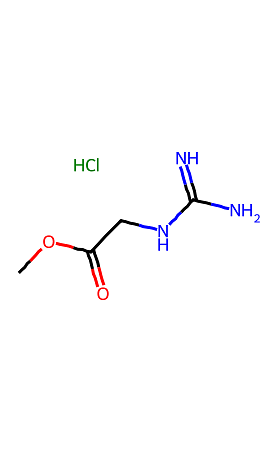 COC(=O)CNC(=N)N.Cl